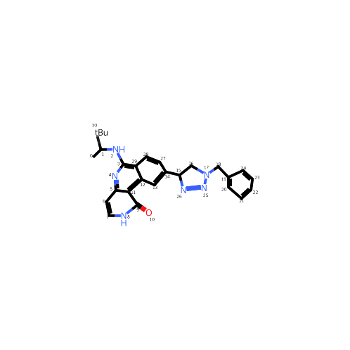 CC(Nc1nc2cc[nH]c(=O)c2c2cc(C3CN(Cc4ccccc4)N=N3)ccc12)C(C)(C)C